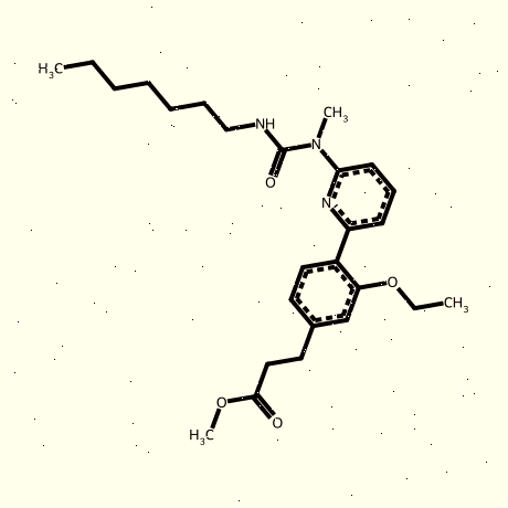 CCCCCCCNC(=O)N(C)c1cccc(-c2ccc(CCC(=O)OC)cc2OCC)n1